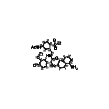 CCOc1cc(C(Nc2ccc3c(N)nccc3c2)C(=O)NCc2cc(NC(C)=O)ccc2S(=O)(=O)CC)ccc1Cl